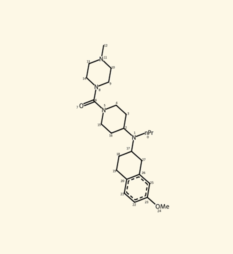 CCCN(C1CCN(C(=O)N2CCN(C)CC2)CC1)C1CCc2ccc(OC)cc2C1